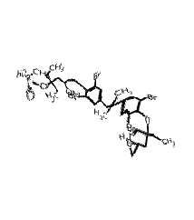 CCC(CC)(CC1CO1)Oc1c(Br)cc(C(C)(C)c2cc(Br)c(CC(O)CC(CC)(CC)OP(C)(=O)O)c(Br)c2)cc1Br